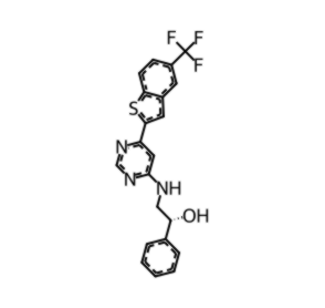 O[C@@H](CNc1cc(-c2cc3cc(C(F)(F)F)ccc3s2)ncn1)c1ccccc1